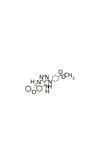 COC(=O)C1CCC(Nc2ncnc(N)c2C(=N)c2ccc(Oc3ccccc3)cc2)CC1